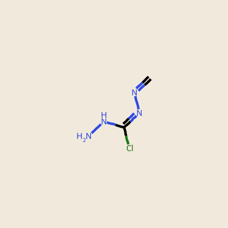 C=N/N=C(/Cl)NN